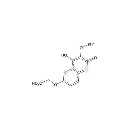 CCCOc1c(O)c2cc(OCC(=O)O)ccc2oc1=O